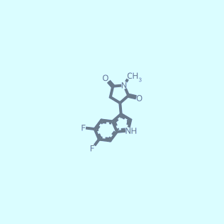 CN1C(=O)CC(c2c[nH]c3cc(F)c(F)cc23)C1=O